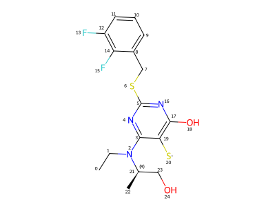 CCN(c1nc(SCc2cccc(F)c2F)nc(O)c1[S])[C@H](C)CO